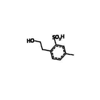 Cc1ccc(CCO)c(S(=O)(=O)O)c1